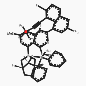 CCOc1nc(-c2cc(C)cc3ccc(F)c(C#C[Si](C(C)C)(C(C)C)C(C)C)c23)c(F)c2nc(SC)nc(N3C[C@H]4CC[C@@H](C3)[C@@H]4O[Si](c3ccccc3)(c3ccccc3)C(C)(C)C)c12